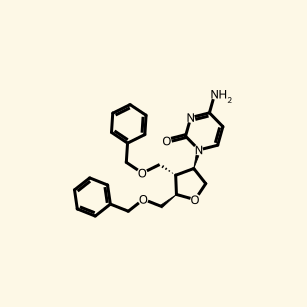 Nc1ccn([C@H]2CO[C@@H](COCc3ccccc3)[C@@H]2COCc2ccccc2)c(=O)n1